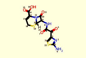 Nc1nc(C(=O)C(=O)NC2C(=O)N3C(C(=O)O)=CCS[C@@H]23)cs1